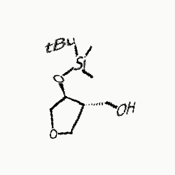 CC(C)(C)[Si](C)(C)O[C@@H]1COC[C@H]1CO